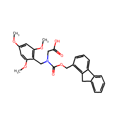 COc1cc(OC)c(CN(CC(=O)O)C(=O)OCc2cccc3c2Cc2ccccc2-3)c(OC)c1